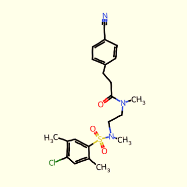 Cc1cc(S(=O)(=O)N(C)CCN(C)C(=O)CCc2ccc(C#N)cc2)c(C)cc1Cl